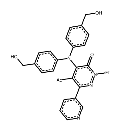 CCn1nc(-c2cccnc2)c(C(C)=O)c(N(c2ccc(CO)cc2)c2ccc(CO)cc2)c1=O